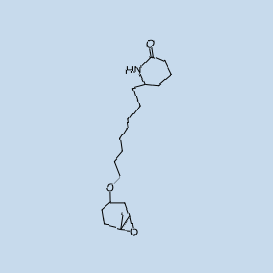 CC12CCC(OCCCCCCCCC3CCCC(=O)N3)CC1O2